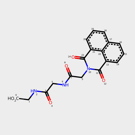 O=C(O)CNC(=O)CNC(=O)CN1C(=O)c2cccc3cccc(c23)C1=O